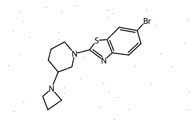 Brc1ccc2nc(N3CCCC(N4CCC4)C3)sc2c1